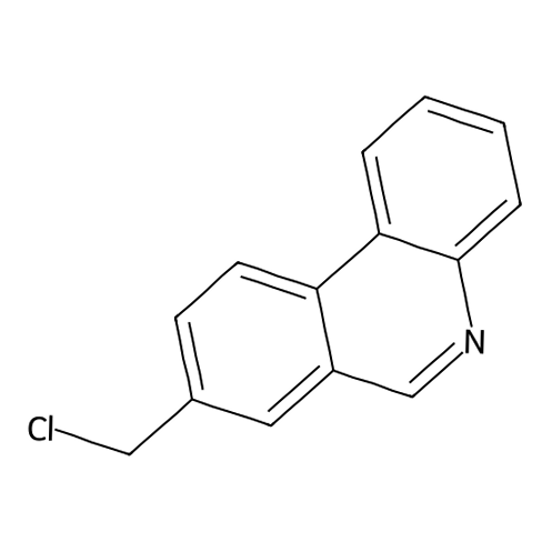 ClCc1ccc2c(cnc3ccccc32)c1